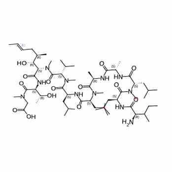 C/C=C/C[C@@H](C)[C@@H](O)[C@@H](C(=O)N[C@H](C(=O)N(C)CC(=O)O)[C@@H](C)O)N(C)C(=O)[C@H](C(C)C)N(C)C(=O)[C@H](CC(C)C)NC(=O)[C@H](CC(C)C)N(C)C(=O)[C@@H](C)NC(=O)[C@H](C)NC(=O)[C@H](CC(C)C)N(C)C(=O)[C@H](CC(C)C)NC(=O)[C@H](N)C(C)CC